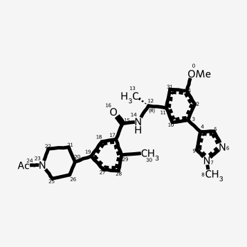 COc1cc(-c2cnn(C)c2)cc([C@@H](C)NC(=O)c2cc(C3CCN(C(C)=O)CC3)ccc2C)c1